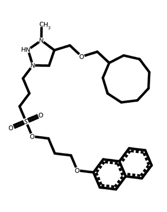 CN1NN(CCCS(=O)(=O)OCCCOc2ccc3ccccc3c2)CC1COCC1CCCCCCCC1